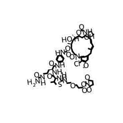 COc1cc2cc(c1Cl)N(C)C(=O)C[C@H](OC(=O)Nc1ccc(NC(=O)[C@H](CCCNC(N)=O)NC(=O)[C@@H](NC(=S)NCCOCCC(=O)ON3C(=O)CCC3=O)C(C)C)cc1)[C@@H](C)[C@@H](O)[C@H](C)[C@@H]1C[C@@](O)(NC(=O)O1)[C@H](OC)/C=C/C=C(\C)C2